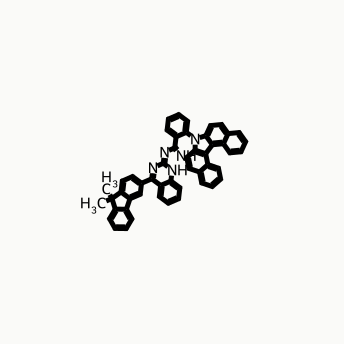 CC1(C)c2ccccc2-c2cc(-c3n/c(=N/C(=N)c4ccccc4-n4c5ccc6ccccc6c5c5c6ccccc6ccc54)[nH]c4ccccc34)ccc21